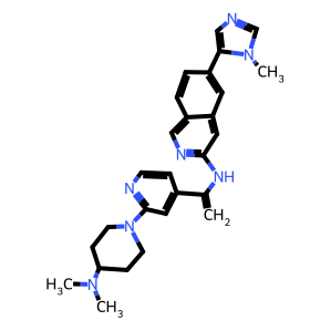 C=C(Nc1cc2cc(-c3cncn3C)ccc2cn1)c1ccnc(N2CCC(N(C)C)CC2)c1